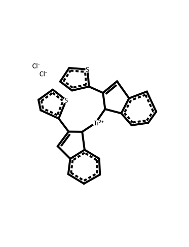 C1=C(c2cccs2)[CH]([Ti+2][CH]2C(c3cccs3)=Cc3ccccc32)c2ccccc21.[Cl-].[Cl-]